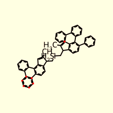 CC1=Cc2c(ccc(-c3ccccc3)c2-c2ccccc2-c2ccccc2)C1C[SiH2]CC1C(C)=Cc2c1ccc(-c1ccccc1)c2-c1ccccc1-c1ccccc1